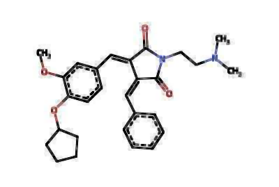 COc1cc(C=C2C(=O)N(CCN(C)C)C(=O)C2=Cc2ccccc2)ccc1OC1CCCC1